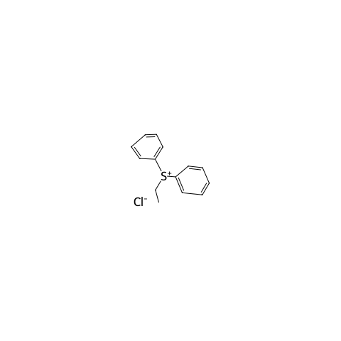 CC[S+](c1ccccc1)c1ccccc1.[Cl-]